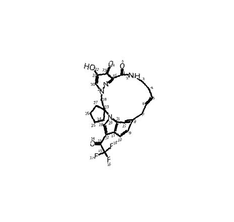 O=C1NCC/C=C/Cc2ccc3c(C(=O)C(F)(F)F)cn(c3c2)C2(CCCC2)Cn2cc(O)c(=O)c1n2